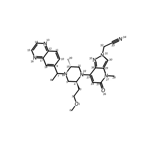 COCC[C@H]1CN(C(C)c2ccc3nccnc3c2)[C@H](C)CN1c1cc(=O)n(C)c2cn(CC#N)nc12